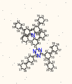 c1ccc(-c2cc(-c3nc(-c4ccc(-c5ccccc5)cc4)nc(-c4cc(-c5ccccc5)cc(-c5ccccc5)c4)n3)cc(-c3ccccc3)c2-n2c3ccc(-c4ccccc4)cc3c3cc(-c4ccccc4)ccc32)cc#1